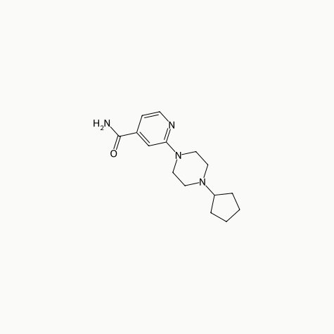 NC(=O)c1ccnc(N2CCN(C3CCCC3)CC2)c1